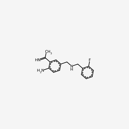 CC(=N)c1cc(CNCc2ccccc2F)ccc1N